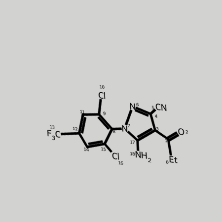 CCC(=O)c1c(C#N)nn(-c2c(Cl)cc(C(F)(F)F)cc2Cl)c1N